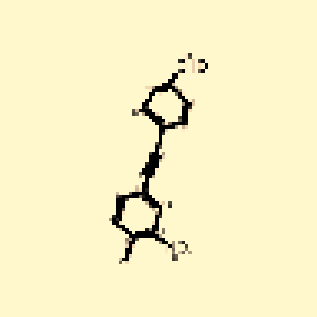 Cc1ccc(C#Cc2ccc(C=O)cc2)cc1[N+](=O)[O-]